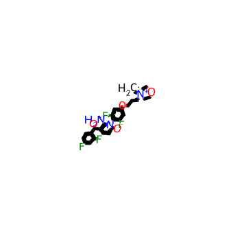 [CH2]C[N+]1(CCCOc2cc(F)c(-n3c(N)c(C(=O)c4ccc(F)cc4F)ccc3=O)c(F)c2)CCOCC1